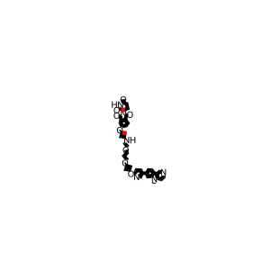 Cn1c2ccncc2c2ccc(-c3ccc(O[C@H]4C[C@H](OCCCOCCN[C@H]5C[C@H](Oc6ccc7c(c6)C(=O)N(C6CCC(=O)NC6=O)C7=O)C5)C4)nc3)cc21